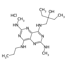 CCCNc1nc(NC)nc2c(NCC(O)(CC)CC)nc(NC)nc12.Cl